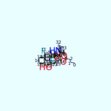 CCCC1O[C@@H]2C[C@H]3[C@@H]4C[C@H](F)C5=CCC=C[C@]5(C)[C@@]4(F)[C@@H](O)C[C@]3(C)[C@]2(C(=O)CNC(C)C)O1